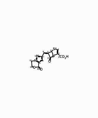 O=C(O)C1=CSC2C(=Cc3cc4n(n3)CCOC4=O)C(=O)N12